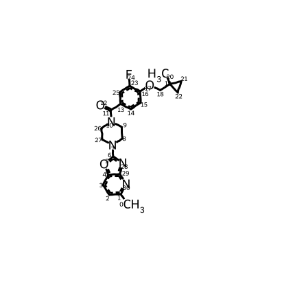 Cc1ccc2oc(N3CCN(C(=O)c4ccc(OCC5(C)CC5)c(F)c4)CC3)nc2n1